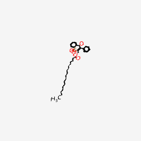 CCCCCCCCCCCCCCCCCC(=O)OCC1=C(c2ccccc2)C(=O)c2ccccc2S1(=O)=O